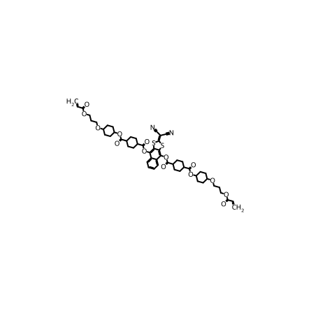 C=CC(=O)OCCCOC1CCC(OC(=O)C2CCC(C(=O)Oc3c4c(c(OC(=O)C5CCC(C(=O)OC6CCC(OCCCOC(=O)C=C)CC6)CC5)c5ccccc35)SC(=C(C#N)C#N)S4)CC2)CC1